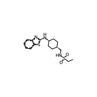 CCS(=O)(=O)NC[C@H]1CC[C@@H](Nc2nc3ccccc3s2)CC1